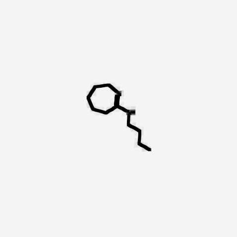 CCCCNC1=NCCCCC1